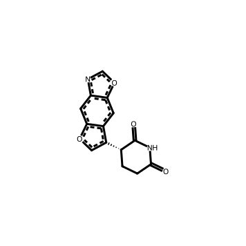 O=C1CC[C@H](c2coc3cc4ncoc4cc23)C(=O)N1